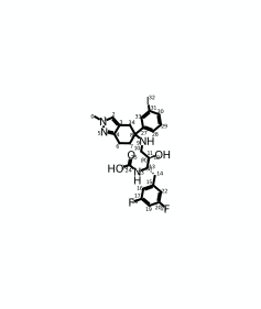 Cn1cc2c(n1)CCC(NC[C@@H](O)[C@H](Cc1cc(F)cc(F)c1)NC(=O)O)(c1cccc(I)c1)C2